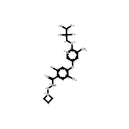 Cc1cc(Oc2cc(F)c(C(=O)NSN3CCC3)cc2Cl)cnc1OCC(F)(F)C(F)F